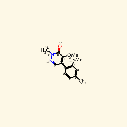 COc1c(-c2ccc(C(F)(F)F)cc2SC)cnn(C)c1=O